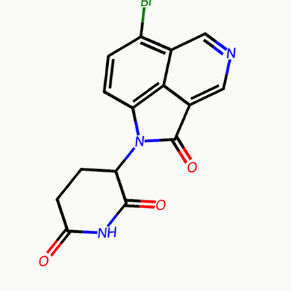 O=C1CCC(N2C(=O)c3cncc4c(Br)ccc2c34)C(=O)N1